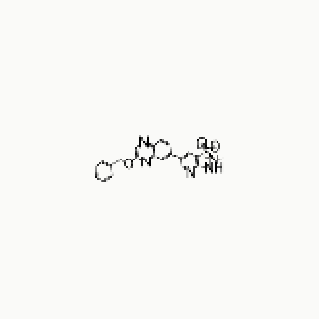 CN1Nc2ncc(-c3ccc4ncc(OCc5ccccc5)nc4c3)cc2S1(=O)=O